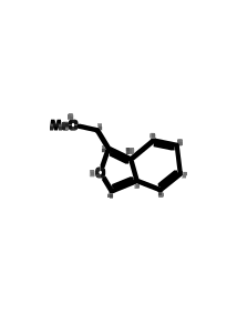 COCc1occ2ccccc12